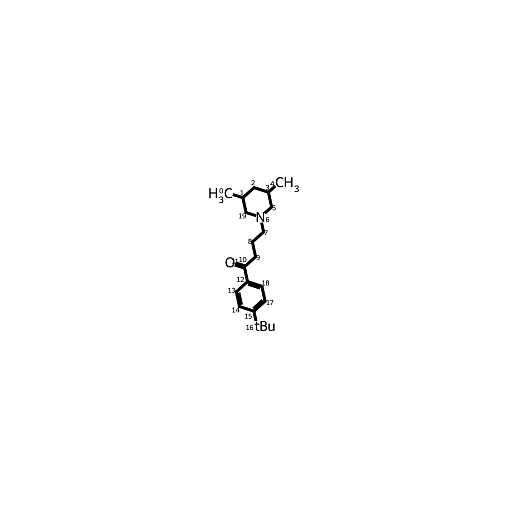 CC1CC(C)CN(CCCC(=O)c2ccc(C(C)(C)C)cc2)C1